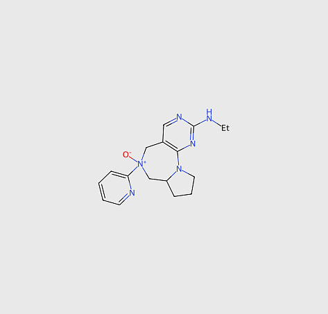 CCNc1ncc2c(n1)N1CCCC1C[N+]([O-])(c1ccccn1)C2